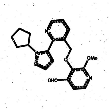 COc1nccc(C=O)c1OCc1cccnc1-c1ccnn1C1CCCC1